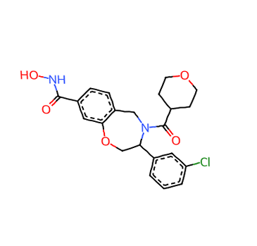 O=C(NO)c1ccc2c(c1)OCC(c1cccc(Cl)c1)N(C(=O)C1CCOCC1)C2